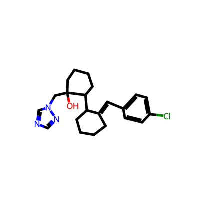 OC1(Cn2cncn2)CCCCC1C1CCCCC1=Cc1ccc(Cl)cc1